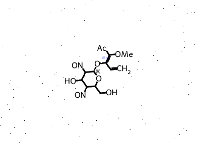 C=C/C(O[C@H]1OC(CO)C(N=O)C(O)C1N=O)=C(\OC)C(C)=O